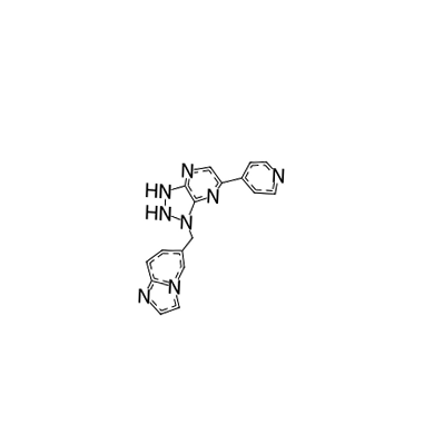 c1cc(-c2cnc3c(n2)N(Cc2ccc4nccn4c2)NN3)ccn1